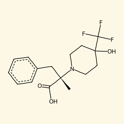 C[C@](Cc1ccccc1)(C(=O)O)N1CCC(O)(C(F)(F)F)CC1